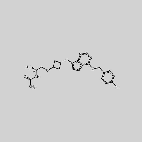 CC(=O)N[C@@H](C)CO[C@H]1C[C@H](Cn2ccc3c(OCc4ccc(Cl)cn4)ncnc32)C1